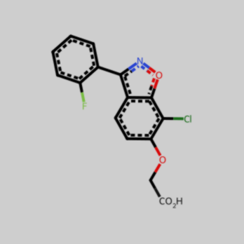 O=C(O)COc1ccc2c(-c3ccccc3F)noc2c1Cl